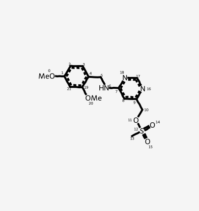 COc1ccc(CNc2cc(COS(C)(=O)=O)ncn2)c(OC)c1